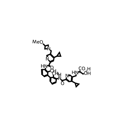 COC1CN(Cc2cnc(C(=O)Nc3cccc(-c4cccc(NC(=O)c5cc(C6CC6)c(CN[C@H](CO)C(=O)O)cn5)c4C)c3C)cc2C2CC2)C1